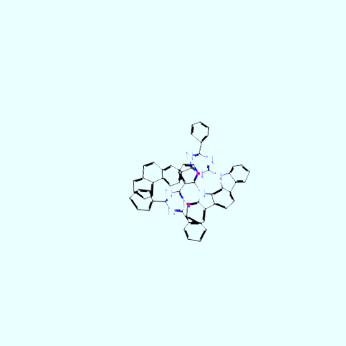 c1ccc(-c2nc(-c3ccccc3)nc(-c3ccccc3-n3c4ccccc4c4ccc5c6ccccc6n(-c6nc(-c7ccccc7)nc(-c7ccc8c(ccc9ccccc98)c7)n6)c5c43)n2)cc1